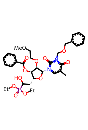 CCOP(=O)(OCC)C(O)C[C@H]1O[C@@H](n2cc(C)c(=O)n(COCc3ccccc3)c2=O)[C@H](OCCOC)[C@@H]1OC(=O)c1ccccc1